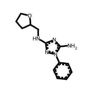 Nc1nc(NCC2CCCO2)nn1-c1ccccc1